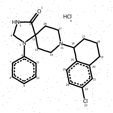 Cl.O=C1NCN(c2ccccc2)C12CCN(C1CCCc3cc(Cl)ccc31)CC2